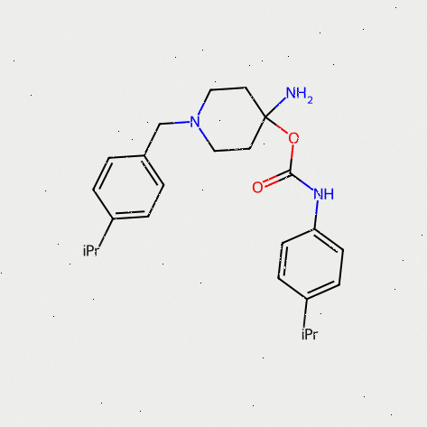 CC(C)c1ccc(CN2CCC(N)(OC(=O)Nc3ccc(C(C)C)cc3)CC2)cc1